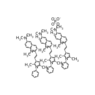 Cc1cc(C=Cc2ccc3cc(N(C)C)ccc3[n+]2C)c(C)n1-c1ccccc1.Cc1cc(C=Cc2ccc3cc(N(C)C)ccc3[n+]2C)c(C)n1-c1ccccc1.Cc1cc(C=Cc2ccc3cc(N(C)C)ccc3[n+]2C)c(C)n1-c1ccccc1.O=P([O-])([O-])[O-]